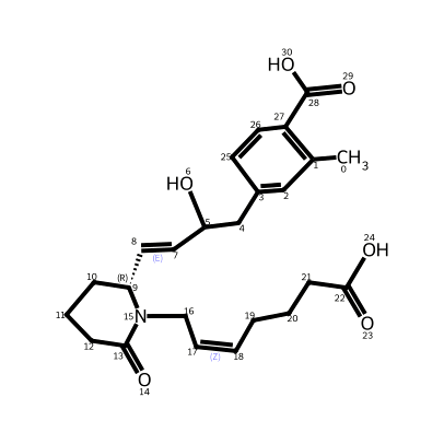 Cc1cc(CC(O)/C=C/[C@H]2CCCC(=O)N2C/C=C\CCCC(=O)O)ccc1C(=O)O